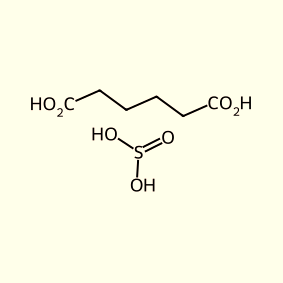 O=C(O)CCCCC(=O)O.O=S(O)O